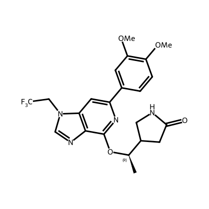 COc1ccc(-c2cc3c(ncn3CC(F)(F)F)c(O[C@H](C)C3CNC(=O)C3)n2)cc1OC